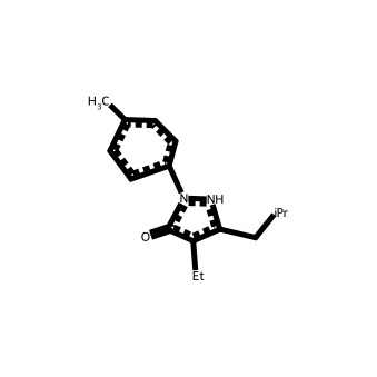 CCc1c(CC(C)C)[nH]n(-c2ccc(C)cc2)c1=O